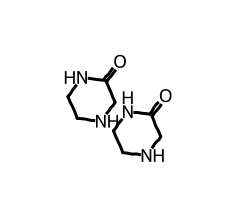 O=C1CNCCN1.O=C1CNCCN1